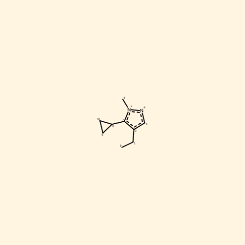 CCc1cnn(C)c1C1CC1